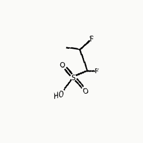 CC(F)C(F)S(=O)(=O)O